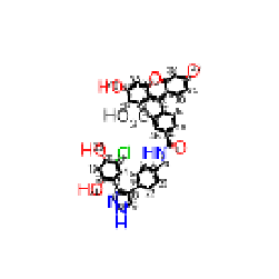 O=C(NCc1ccc(-c2c[nH]nc2-c2cc(Cl)c(O)cc2O)cc1)c1ccc(-c2c3ccc(=O)cc-3oc3cc(O)ccc23)c(C(=O)O)c1